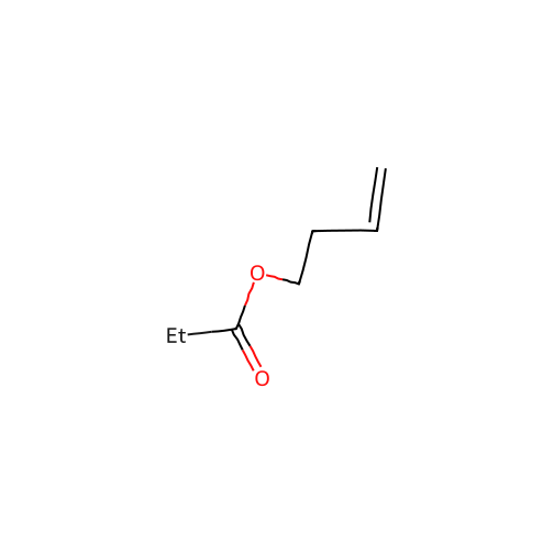 C=CCCOC(=O)CC